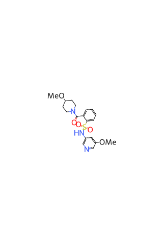 COc1cncc(NS(=O)(=O)c2ccccc2C(=O)N2CCC(OC)CC2)c1